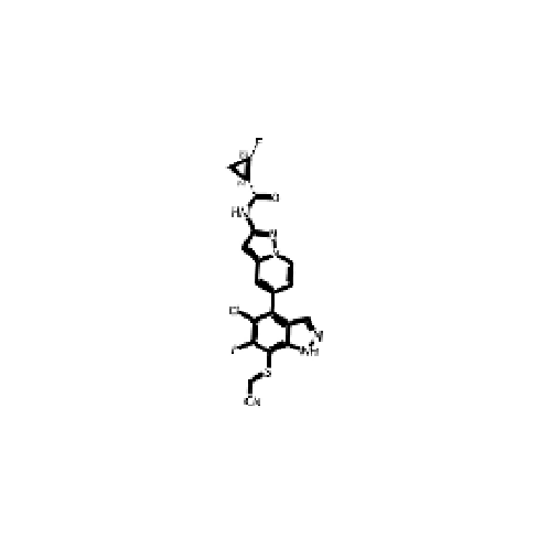 N#CCSc1c(F)c(Cl)c(-c2ccn3nc(NC(=O)[C@@H]4C[C@@H]4F)cc3c2)c2cn[nH]c12